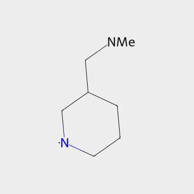 CNCC1CCC[N]C1